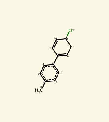 Cc1ccc(C2=CCC(Cl)C=C2)cc1